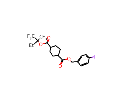 CCC(OC(=O)C1CCC(C(=O)OCc2ccc(I)cc2)CC1)(C(F)(F)F)C(F)(F)F